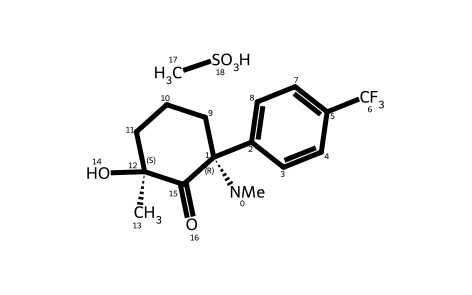 CN[C@@]1(c2ccc(C(F)(F)F)cc2)CCC[C@](C)(O)C1=O.CS(=O)(=O)O